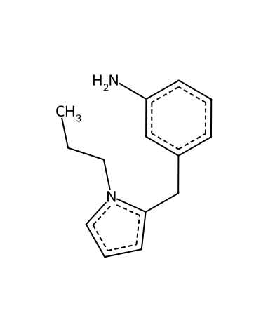 CCCn1cccc1Cc1cccc(N)c1